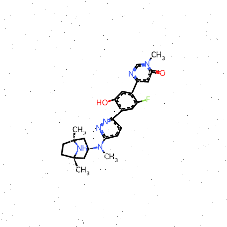 CN(c1ccc(-c2cc(F)c(-c3cc(=O)n(C)cn3)cc2O)nn1)[C@H]1C[C@]2(C)CC[C@](C)(C1)N2